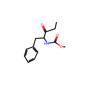 CCC(=O)C(Cc1ccccc1)NC(=O)OC